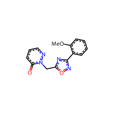 COc1ccccc1-c1noc(Cn2ncccc2=O)n1